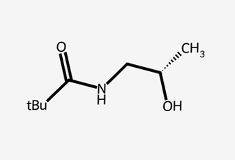 C[C@H](O)CNC(=O)C(C)(C)C